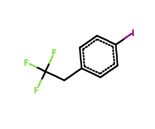 FC(F)(F)Cc1ccc(I)cc1